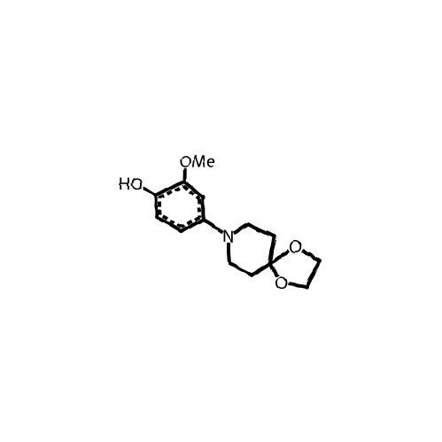 COc1cc(N2CCC3(CC2)OCCO3)ccc1O